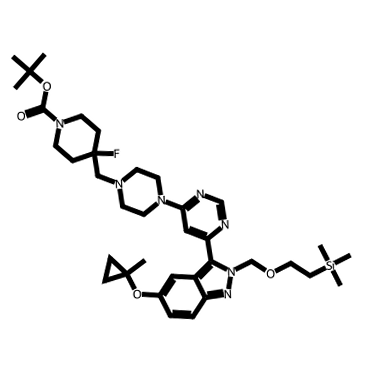 CC(C)(C)OC(=O)N1CCC(F)(CN2CCN(c3cc(-c4c5cc(OC6(C)CC6)ccc5nn4COCC[Si](C)(C)C)ncn3)CC2)CC1